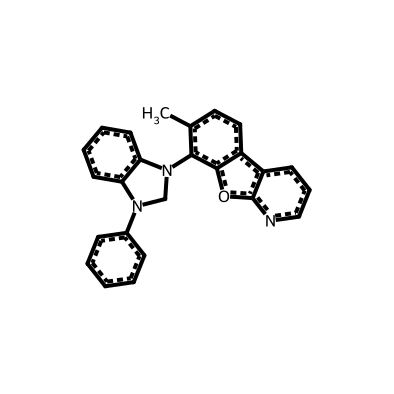 Cc1ccc2c(oc3ncccc32)c1N1CN(c2ccccc2)c2ccccc21